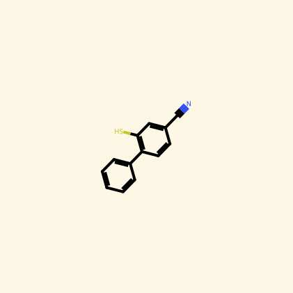 N#Cc1ccc(-c2ccccc2)c(S)c1